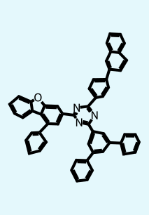 c1ccc(-c2cc(-c3ccccc3)cc(-c3nc(-c4ccc(-c5ccc6ccccc6c5)cc4)nc(-c4cc(-c5ccccc5)c5c(c4)oc4ccccc45)n3)c2)cc1